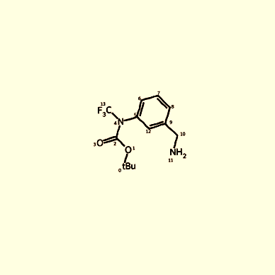 CC(C)(C)OC(=O)N(c1cccc(CN)c1)C(F)(F)F